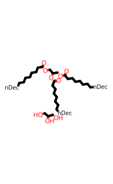 CCCCCCCCCCCCCCCCCC(=O)OCC(COC(=O)CCCCCCCCCCCCCCCCC)OC(=O)CCCCCCCCCCCCCCCCC.OCC(O)CO